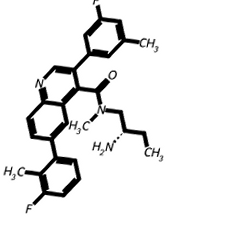 CC[C@H](N)CN(C)C(=O)c1c(-c2cc(C)cc(F)c2)cnc2ccc(-c3cccc(F)c3C)cc12